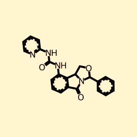 O=C(Nc1ccccn1)Nc1cccc2c1C1COC(c3ccccc3)N1C2=O